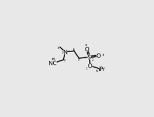 CC(C)OS(=O)(=O)CCN(C)CC#N